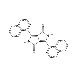 CN1C(=O)C2=C(c3cccc4ccccc34)N(C)C(=O)C2=C1c1cccc2ccccc12